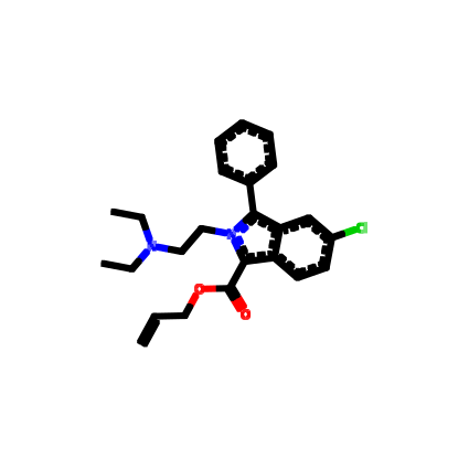 C=CCOC(=O)c1c2ccc(Cl)cc2c(-c2ccccc2)n1CCN(CC)CC